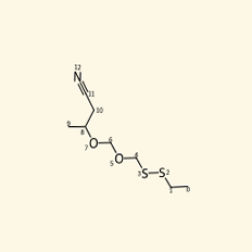 CCSSCOCOC(C)CC#N